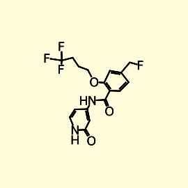 O=C(Nc1cc[nH]c(=O)c1)c1ccc(CF)cc1OCCCC(F)(F)F